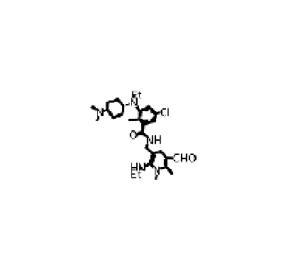 CCNC1=C(CNC(=O)c2cc(Cl)cc(N(CC)[C@H]3CC[C@H](N(C)C)CC3)c2C)CC(C=O)=C(C)N1C